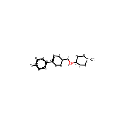 [CH2-][C+]1CCC(OCC2CC=C(c3ccc(C)cc3)CC2)CC1